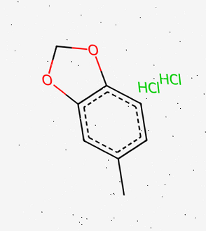 Cc1ccc2c(c1)OCO2.Cl.Cl